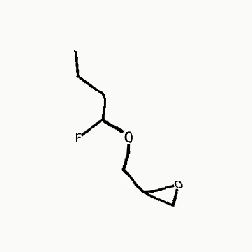 CCCC(F)OCC1CO1